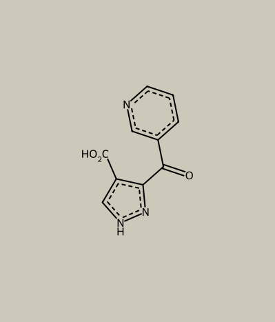 O=C(O)c1c[nH]nc1C(=O)c1cccnc1